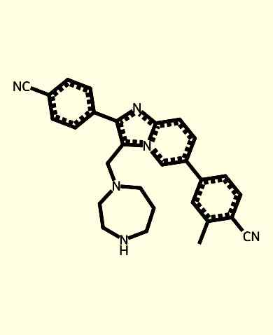 Cc1cc(-c2ccc3nc(-c4ccc(C#N)cc4)c(CN4CCCNCC4)n3c2)ccc1C#N